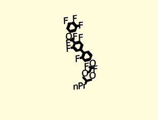 CCCC1COC(C(F)(F)Oc2ccc(-c3cc(F)c(C(F)(F)Oc4cc(F)c(F)c(F)c4)c(F)c3)c(F)c2)OC1